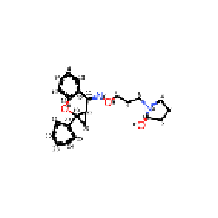 O=C1CCCN1CCCON=C1c2ccccc2OC2(c3ccccc3)CC12